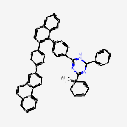 CC1(C2=NC(c3ccccc3)NC(c3ccc(-c4c(-c5ccc(-c6ccc7c(ccc8ccccc87)c6)cc5)ccc5ccccc45)cc3)=N2)C=CC=CC1